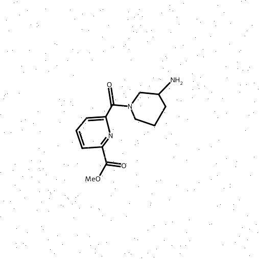 COC(=O)c1cccc(C(=O)N2CCCC(N)C2)n1